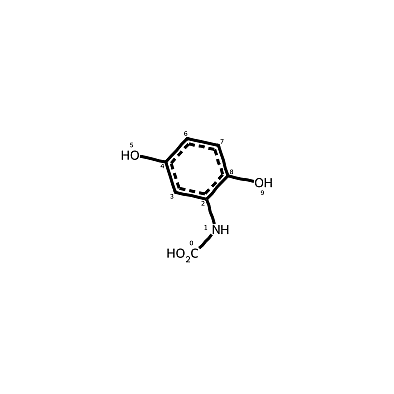 O=C(O)Nc1cc(O)ccc1O